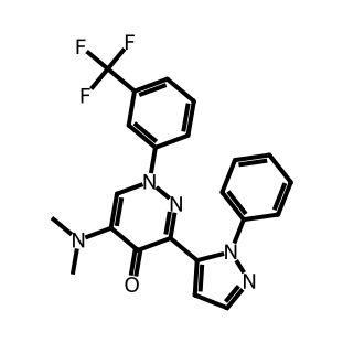 CN(C)c1cn(-c2cccc(C(F)(F)F)c2)nc(-c2ccnn2-c2ccccc2)c1=O